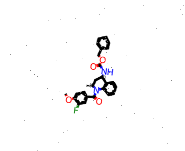 COc1ccc(C(=O)N2c3ccccc3[C@H](NC(=O)OCc3ccccc3)C[C@@H]2C)cc1F